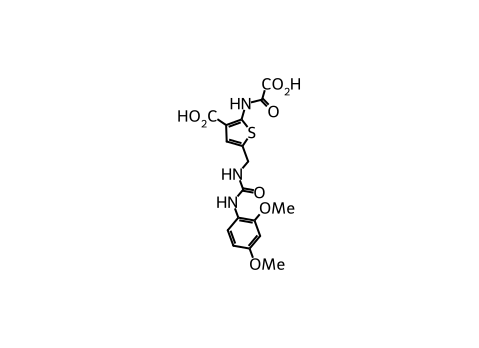 COc1ccc(NC(=O)NCc2cc(C(=O)O)c(NC(=O)C(=O)O)s2)c(OC)c1